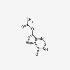 CC(=O)Oc1c[nH]c2c(=O)[nH]cnc12